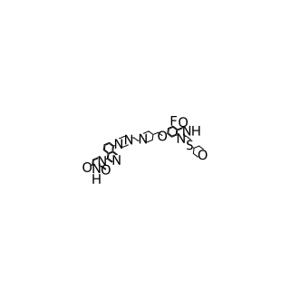 O=c1ccn(-c2cncc3c(N4CCN(CCN5CCC(COc6cc(F)c7c(=O)[nH]c(CSC8CCOCC8)nc7c6)CC5)CC4)cccc23)c(=O)[nH]1